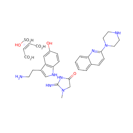 CN1CC(=O)NC1=N.NCCc1c[nH]c2ccc(O)cc12.O=C(O)/C=C\C(=O)O.O=S(=O)(O)O.c1ccc2nc(N3CCNCC3)ccc2c1